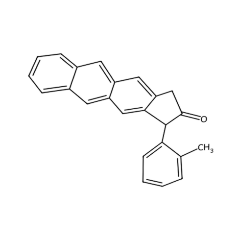 Cc1ccccc1C1C(=O)Cc2cc3cc4ccccc4cc3cc21